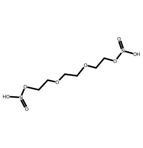 O=[Si](O)OCCOCCOCCO[Si](=O)O